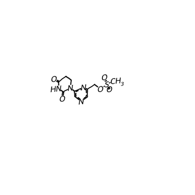 CS(=O)(=O)OCc1cncc(N2CCC(=O)NC2=O)n1